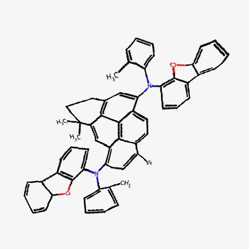 Cc1ccccc1N(c1cccc2c1OC1C=CC=CC21)c1cc(C(C)C)c2ccc3c(N(c4ccccc4C)c4cccc5c4oc4ccccc45)cc4c5c(cc1c2c35)C(C)(C)CC4